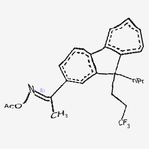 CCCC1(CCC(F)(F)F)c2ccccc2-c2ccc(/C(C)=N/OC(C)=O)cc21